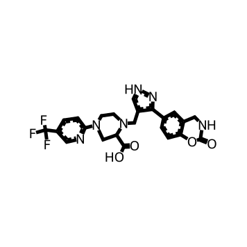 O=C1NCc2cc(-c3n[nH]cc3CN3CCN(c4ccc(C(F)(F)F)cn4)CC3C(=O)O)ccc2O1